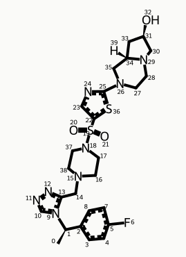 C[C@H](c1ccc(F)cc1)n1cnnc1CN1CCN(S(=O)(=O)c2cnc(N3CCN4C[C@H](O)C[C@H]4C3)s2)CC1